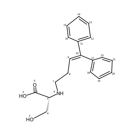 O=C(O)[C@@H](CO)NCCC=C(c1ccccc1)c1ccccc1